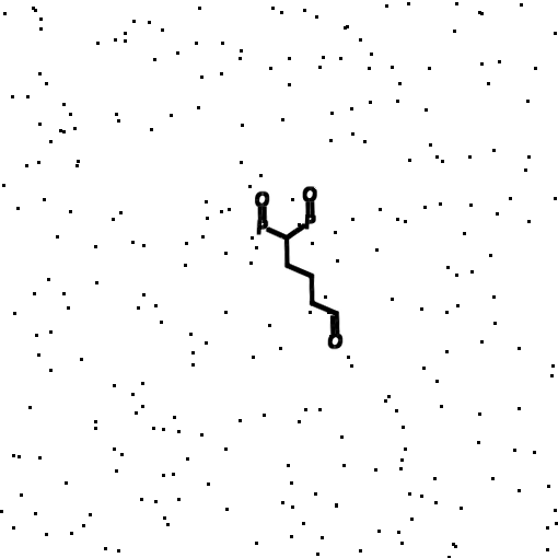 O=CCCCC(P=O)P=O